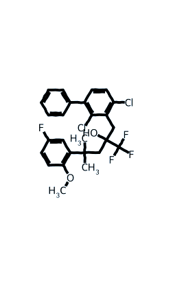 COc1ccc(F)cc1C(C)(C)CC(O)(Cc1c(Cl)ccc(-c2ccccc2)c1Cl)C(F)(F)F